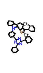 CCc1sc2c(ccc3c4ccccc4n(-c4cccc(-c5nc(-c6ccccc6)nc(-c6ccccc6)n5)c4)c32)c1C1C=CC=CC1CC